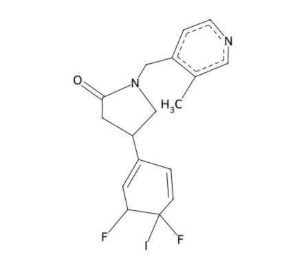 Cc1cnccc1CN1CC(C2=CC(F)C(F)(I)C=C2)CC1=O